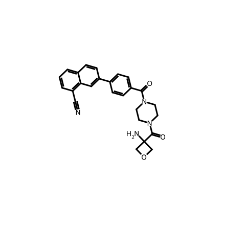 N#Cc1cccc2ccc(-c3ccc(C(=O)N4CCN(C(=O)C5(N)COC5)CC4)cc3)cc12